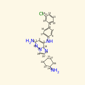 Nc1cc(Nc2ccc(-c3cccc(Cl)c3)cc2)c2nc([C@H]3CC[C@H](N)CC3)cn2n1